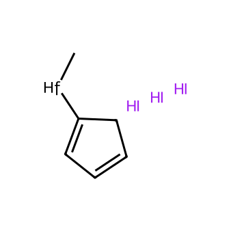 I.I.I.[CH3][Hf][C]1=CC=CC1